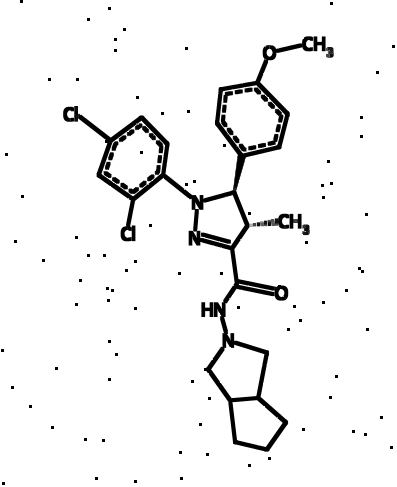 COc1ccc([C@H]2[C@H](C)C(C(=O)NN3CC4CCCC4C3)=NN2c2ccc(Cl)cc2Cl)cc1